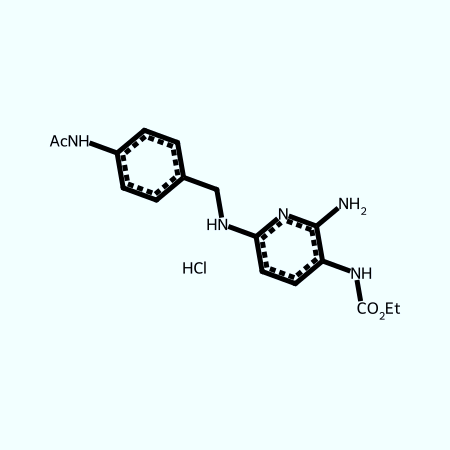 CCOC(=O)Nc1ccc(NCc2ccc(NC(C)=O)cc2)nc1N.Cl